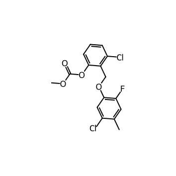 COC(=O)Oc1cccc(Cl)c1COc1cc(Cl)c(C)cc1F